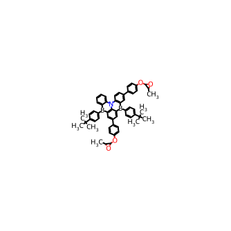 CC1OC1Oc1ccc(-c2ccc3c(c2)B(c2ccc(C(C)(C)C)cc2)c2cc(-c4ccc(OC5OC5C)cc4)cc4c2N3c2ccccc2B4c2ccc(C(C)(C)C)cc2)cc1